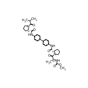 COC(=O)N[C@@H](C)C(=O)N1CCC[C@H]1C(=O)Nc1ccc(-c2ccc(NC(=O)[C@@H]3CCCN3C(=O)C(C)C)cc2)cc1